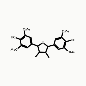 COc1cc(C2OC(c3cc(OC)c(O)c(OC)c3)C(C)C2C)cc(OC)c1O